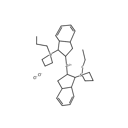 CCC[Si]1(C2[CH]([Zr+2][CH]3CC4C=CC=CC4C3[Si]3(CCC)CCC3)CC3C=CC=CC32)CCC1.[Cl-].[Cl-]